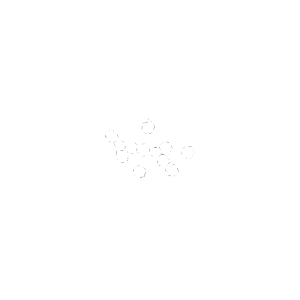 Cc1cc(-c2c3cc4c5ccccc5c5cccc(c3c(-c3cc(C)nc(C)c3)c3c6cc7ccccc7c7c(-c8ccccc8)ccc(c23)c67)c54)cc(C)n1